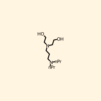 CCCN(CCC)CCCN(CCO)CCO